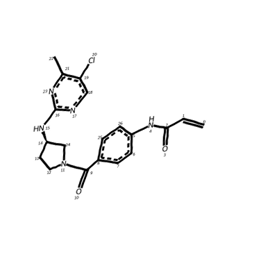 C=CC(=O)Nc1ccc(C(=O)N2CC[C@@H](Nc3ncc(Cl)c(C)n3)C2)cc1